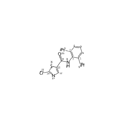 CC(C)c1cccc(C(C)C)c1NC(=O)c1cnc(Cl)s1